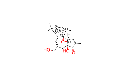 CC(=O)O[C@@]12C[C@@H](C)[C@@]3(O)C(C=C(CO)CC4(O)C(=O)C(C)=C[C@H]43)C1C2(C)C